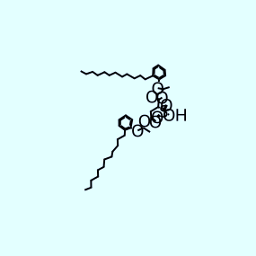 CCCCCCCCCCCCc1ccccc1OC(C)OC(=O)CC(C(=O)OC(C)Oc1ccccc1CCCCCCCCCCCC)S(=O)(=O)O